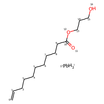 C=CCCCCCCCCC(=O)OCCCO.[PbH2]